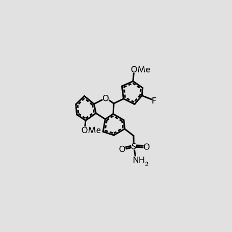 COc1cc(F)cc(C2Oc3cccc(OC)c3-c3ccc(CS(N)(=O)=O)cc32)c1